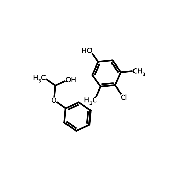 CC(O)Oc1ccccc1.Cc1cc(O)cc(C)c1Cl